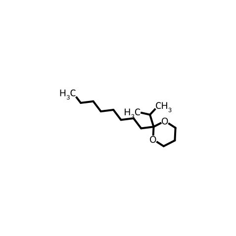 CCCCCCCCC1(C(C)C)OCCCO1